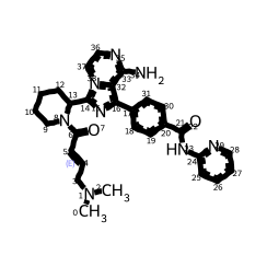 CN(C)C/C=C/C(=O)N1CCCCC1c1nc(-c2ccc(C(=O)Nc3ccccn3)cc2)c2c(N)nccn12